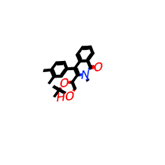 Cc1ccc(-c2c(C(CO)OC(C)(C)C)n(C)c(=O)c3ccccc23)cc1C